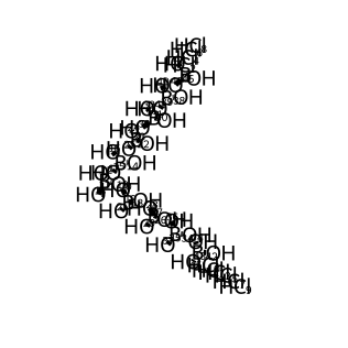 Cl.Cl.Cl.Cl.Cl.Cl.Cl.Cl.Cl.Cl.OB(O)O.OB(O)O.OB(O)O.OB(O)O.OB(O)O.OB(O)O.OB(O)O.OB(O)O.OB(O)O.OB(O)O